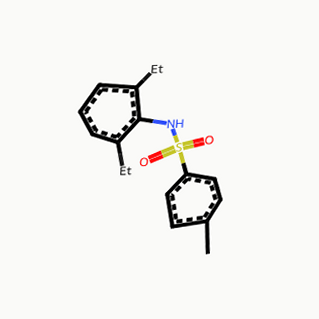 CCc1cccc(CC)c1NS(=O)(=O)c1ccc(C)cc1